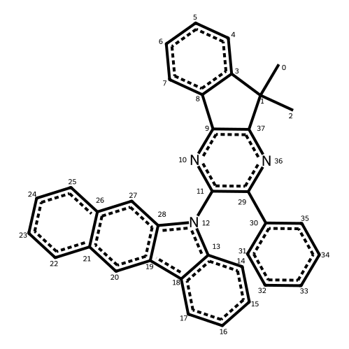 CC1(C)c2ccccc2-c2nc(-n3c4ccccc4c4cc5ccccc5cc43)c(-c3ccccc3)nc21